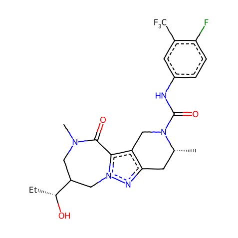 CC[C@@H](O)C1CN(C)C(=O)c2c3c(nn2C1)C[C@@H](C)N(C(=O)Nc1ccc(F)c(C(F)(F)F)c1)C3